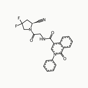 N#C[C@@H]1CC(F)(F)CN1C(=O)CNC(=O)c1cn(-c2ccccc2)c(=O)c2ccccc12